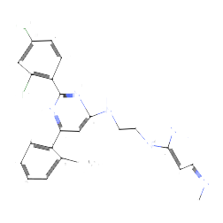 C/N=C\C=C(/N)NCCNc1cc(-c2ccccc2OC)nc(-c2ccc(Cl)cc2Cl)n1